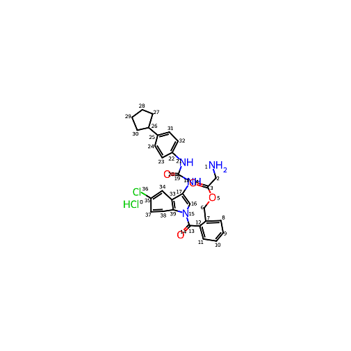 Cl.NCC(=O)OCc1ccccc1C(=O)n1cc(NC(=O)Nc2ccc(C3CCCC3)cc2)c2cc(Cl)ccc21